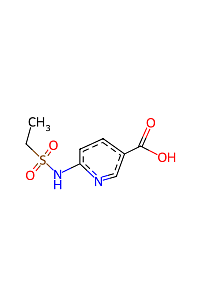 CCS(=O)(=O)Nc1ccc(C(=O)O)cn1